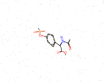 COC(=O)C(NC(C)=O)c1ccc(OS(C)(=O)=O)cc1